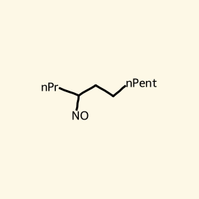 CCCCCCCC(CCC)N=O